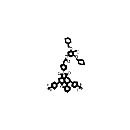 O=Cc1c(OCC2CCCCC2)cc(OC(=O)Cc2ccc(-n3c(=O)c4cc(-c5ccc(C(F)(F)F)cc5)c5oc6ccccc6c6c(-c7ccc(C(F)(F)F)cc7)cc(c3=O)c4c56)cc2)cc1OCC1CCCCC1